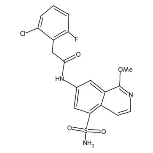 COc1nccc2c(S(N)(=O)=O)cc(NC(=O)Cc3c(F)cccc3Cl)cc12